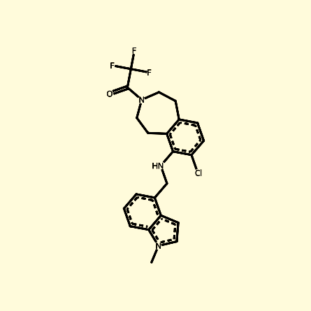 Cn1ccc2c(CNc3c(Cl)ccc4c3CCN(C(=O)C(F)(F)F)CC4)cccc21